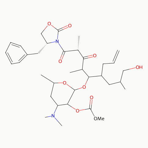 C=CCC(CC(C)CO)C(OC1OC(C)CC(N(C)C)C1OC(=O)OC)C(C)C(=O)[C@@H](C)C(=O)N1C(=O)OC[C@H]1Cc1ccccc1